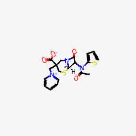 CC(=O)N(c1cccs1)C1C(=O)N2CC(C[n+]3ccccc3)(C(=O)[O-])CS[C@H]12